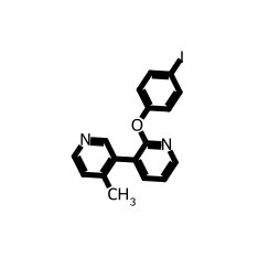 Cc1ccncc1-c1cccnc1Oc1ccc(I)cc1